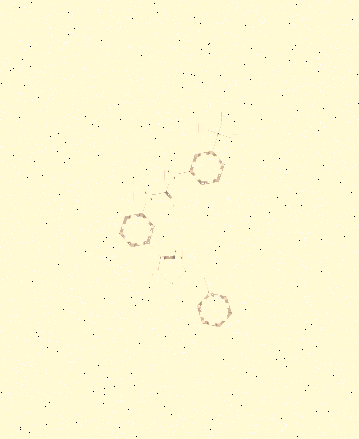 O=C(Nc1cccc(C2=N[C@H](Cc3ccccc3)CO2)c1)Nc1cccc(C(F)(F)F)c1